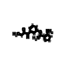 C=CC(=O)Nc1cccc(OC(N)C2=C(N)CCS2)c1